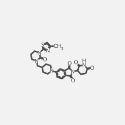 Cc1csc(N2CCCN(CC3CCN(c4ccc5c(c4)C(=O)N(C4CCC(=O)NC4=O)C5=O)CC3)C2=O)n1